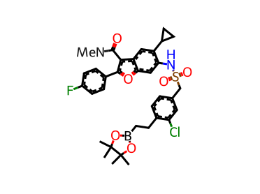 CNC(=O)c1c(-c2ccc(F)cc2)oc2cc(NS(=O)(=O)Cc3ccc(CCB4OC(C)(C)C(C)(C)O4)c(Cl)c3)c(C3CC3)cc12